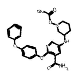 CC(C)(C)C(=O)ON1CCCC(Nc2cnc(Oc3ccc(Oc4ccccc4)cc3)c(C(N)=O)c2)C1